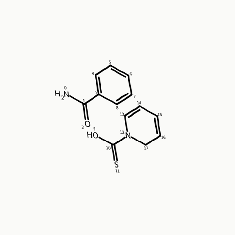 NC(=O)c1ccccc1.OC(=S)N1C=CC=CC1